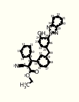 CCOC(=O)/C(C#N)=C(/c1ccccc1)c1cccc(Cc2ccc(O)c(-n3nc4ccccc4n3)c2)c1